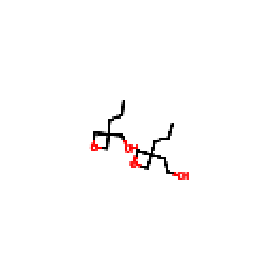 CCCC1(CCO)COC1.CCCC1(CO)COC1